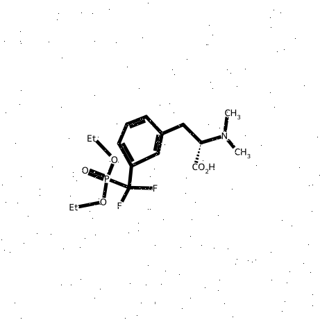 CCOP(=O)(OCC)C(F)(F)c1cccc(C[C@@H](C(=O)O)N(C)C)c1